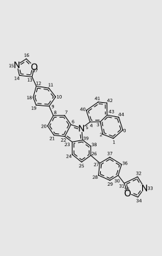 c1ccc2c(-n3c4cc(-c5ccc(-c6cnco6)cc5)ccc4c4ccc(-c5ccc(-c6cnco6)cc5)cc43)cccc2c1